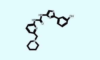 O=C(Nc1cccc(CN2CCCCC2)n1)Nc1csc(-c2cccc(O)c2)n1